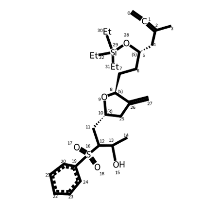 C=C=C(C)C[C@H](CC[C@@H]1O[C@@H](CC(C(C)O)S(=O)(=O)c2ccccc2)CC1=C)O[Si](CC)(CC)CC